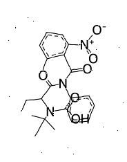 CCC(C(=O)N(C(=O)c1c(C)cccc1[N+](=O)[O-])c1ccccc1)N(C(=O)O)C(C)(C)C